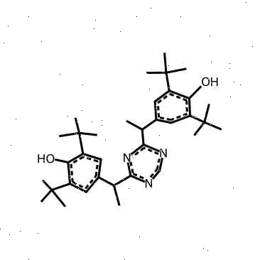 CC(c1cc(C(C)(C)C)c(O)c(C(C)(C)C)c1)c1ncnc(C(C)c2cc(C(C)(C)C)c(O)c(C(C)(C)C)c2)n1